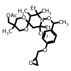 CCC1(C)CC2(OCC(C)(COC(C)=O)CO2)C(C)C(C)(CC)N1OC(C)c1ccc(OCC2CO2)cc1